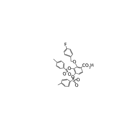 Cc1ccc(S(=O)(=O)Oc2ccc(C(=O)O)c(OCc3ccc(F)cc3)c2OS(=O)(=O)c2ccc(C)cc2)cc1